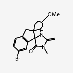 C=C1NC2(C(=O)N1C)c1cc(Br)ccc1CC21CCC(OC)CC1